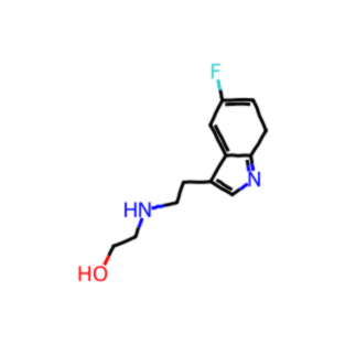 OCCNCCC1=CN=C2CC=C(F)C=C12